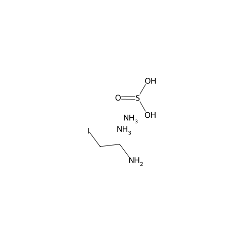 N.N.NCCI.O=S(O)O